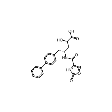 O=C(N[C@H](Cc1ccc(-c2ccccc2)cc1)C[C@@H](O)C(=O)O)c1noc(=O)[nH]1